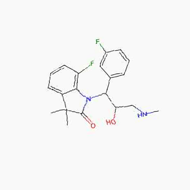 CNCC(O)C(c1cccc(F)c1)N1C(=O)C(C)(C)c2cccc(F)c21